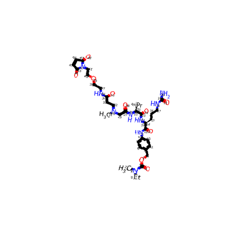 CCN(C)C(=O)OCc1ccc(NC(=O)[C@H](CCCNC(N)=O)NC(=O)[C@@H](NC(=O)CN(C)CCC(=O)NCCOCCN2C(=O)C=CC2=O)C(C)C)cc1